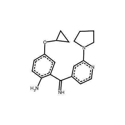 N=C(c1ccnc(N2CCCC2)c1)c1cc(OC2CC2)ccc1N